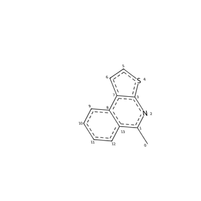 Cc1nc2sccc2c2ccccc12